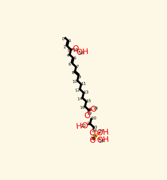 CC=CC(CC=CCC=CCCCCCCCC(=O)OCC(O)COP(=O)(O)O)OO